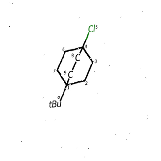 CC(C)(C)C12CCC(Cl)(CC1)CC2